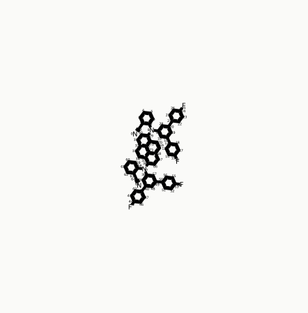 N#Cc1ccccc1N(c1cc(-c2ccc(F)cc2)cc(-c2ccc(F)cc2)c1)c1ccc2ccc3c(N(c4cc(-c5ccc(F)cc5)cc(-c5ccc(F)cc5)c4)c4ccccc4C#N)ccc4ccc1c2c43